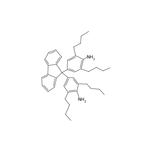 CCCCc1cc(C2(c3cc(CCCC)c(N)c(CCCC)c3)c3ccccc3-c3ccccc32)cc(CCCC)c1N